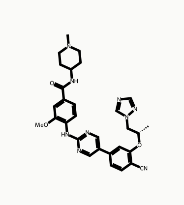 COc1cc(C(=O)NC2CCN(C)CC2)ccc1Nc1ncc(-c2ccc(C#N)c(O[C@@H](C)Cn3cncn3)c2)cn1